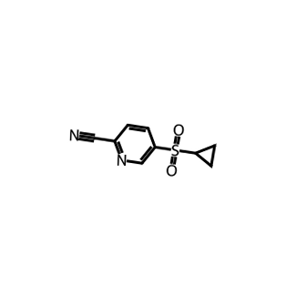 N#Cc1ccc(S(=O)(=O)C2CC2)cn1